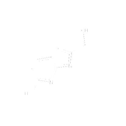 Cc1ccc2oc(C(C)C)nc2n1